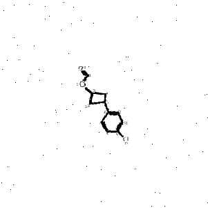 O=COC1CC(c2ccc(Cl)cc2)C1